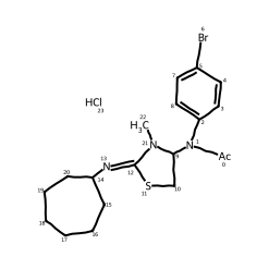 CC(=O)N(c1ccc(Br)cc1)C1CSC(=NC2CCCCCC2)N1C.Cl